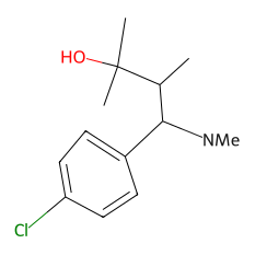 CNC(c1ccc(Cl)cc1)C(C)C(C)(C)O